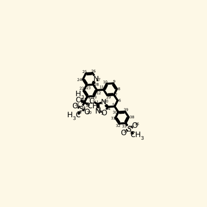 Cc1noc(C(Cc2cccc(-c3cc(C(C)(C)S(C)(=O)=O)cc4cccnc34)c2)c2ccc(S(C)(=O)=O)cc2)n1